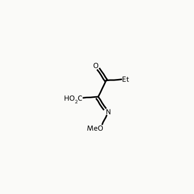 CCC(=O)/C(=N/OC)C(=O)O